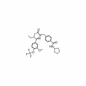 CCC1CC(=O)N(Cc2ccc(C(=O)NC3CCCC3)cc2)N=C1c1ccc(OC(F)(F)F)c(OC)c1